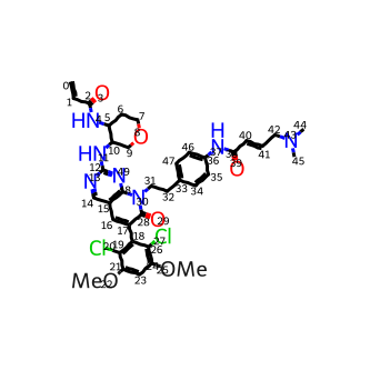 C=CC(=O)NC1CCOCC1Nc1ncc2cc(-c3c(Cl)c(OC)cc(OC)c3Cl)c(=O)n(CCc3ccc(NC(=O)/C=C/CN(C)C)cc3)c2n1